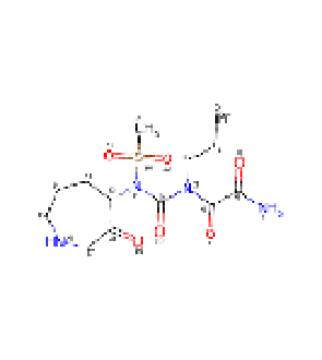 CC(C)CCN(C(=O)C(N)=O)C(=O)N([C@H]1CCCNCC1=O)S(C)(=O)=O